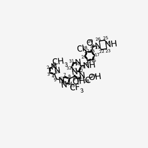 Cn1ccc(Cn2cc(-c3cnc4c(Nc5ccc(C(=O)N6CCNCC6)c(Cl)c5)nccn34)c(C(F)(F)F)n2)n1.O=CO